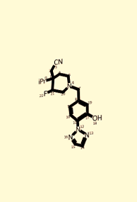 CC(C)C1(CC#N)CCN(Cc2ccc(-n3nccn3)c(O)c2)CC1F